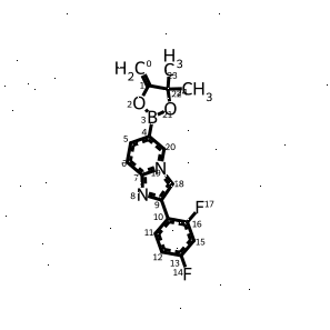 C=C1OB(c2ccc3nc(-c4ccc(F)cc4F)cn3c2)OC1(C)C